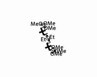 CC[Si](CC)(SCC(C)(C)C[Si](OC)(OC)OC)SCC(C)(C)C[Si](OC)(OC)OC